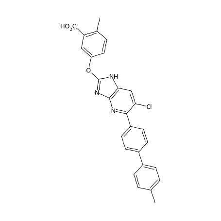 Cc1ccc(-c2ccc(-c3nc4nc(Oc5ccc(C)c(C(=O)O)c5)[nH]c4cc3Cl)cc2)cc1